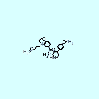 CC[C@@H](O[C@H]1CNCC[C@@H]1c1ccc(OC)cc1)c1ccc2c(c1)N(CCCOC)CCO2